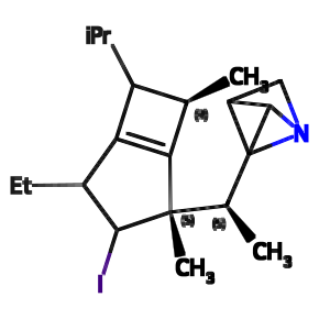 CCC1C2=C([C@H](C)C2C(C)C)[C@](C)([C@H](C)C2C3CN2C3)C1I